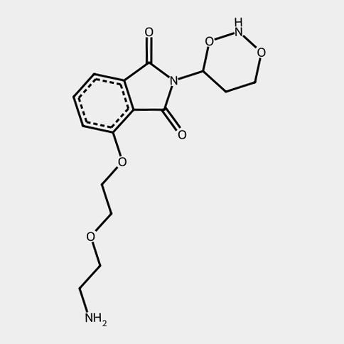 NCCOCCOc1cccc2c1C(=O)N(C1CCONO1)C2=O